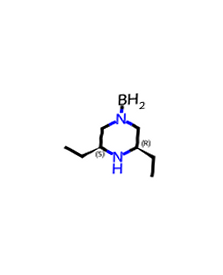 BN1C[C@@H](CC)N[C@@H](CC)C1